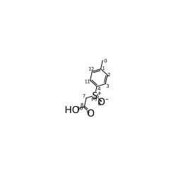 Cc1ccc([S@@+]([O-])CC(=O)O)cc1